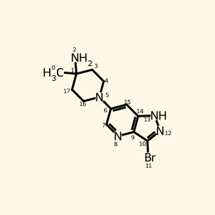 CC1(N)CCN(c2cnc3c(Br)n[nH]c3c2)CC1